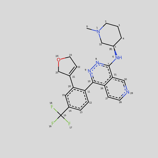 CN1CCC[C@@H](Nc2nnc(-c3ccc(C(F)(F)F)cc3C3=CCOC3)c3ccncc23)C1